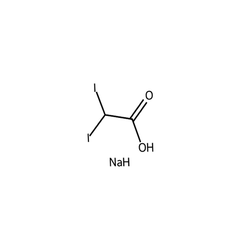 O=C(O)C(I)I.[NaH]